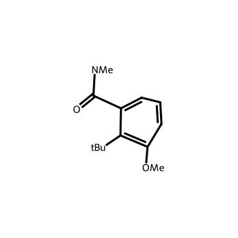 CNC(=O)c1cccc(OC)c1C(C)(C)C